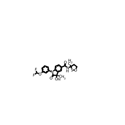 CC1(NC(=O)c2ccc3c(c2)[C@](C)(O)C(=O)N3c2cccc(OC(F)F)c2)CCOS1